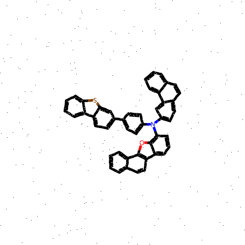 c1ccc2c(c1)ccc1ccc(N(c3ccc(-c4ccc5c(c4)sc4ccccc45)cc3)c3cccc4c3oc3c5ccccc5ccc43)cc12